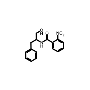 O=C(NC(CO)Cc1ccccc1)c1ccccc1[N+](=O)[O-]